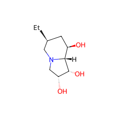 CC[C@H]1C[C@@H](O)[C@@H]2[C@H](O)[C@H](O)CN2C1